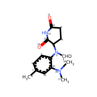 Cc1ccc(N(C=O)C2CCC(=O)NC2=O)c(N(C)C)c1